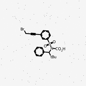 CC(C)(C)C(c1ccccc1)N(C(=O)O)S(=O)(=O)c1cccc(C#CCBr)c1